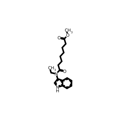 CCN(C(=O)CCCCCCC(=O)OC)c1c[nH]c2ccccc12